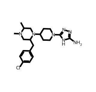 CC1CN(C2CCN(c3nnc(N)[nH]3)CC2)C(Cc2ccc(Cl)cc2)CN1C